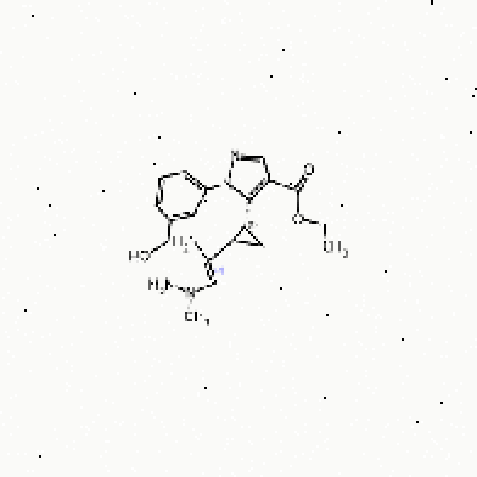 CCOC(=O)c1cnn(-c2cccc(CO)c2)c1[C@@H]1CC1/C(N)=C/N(C)N